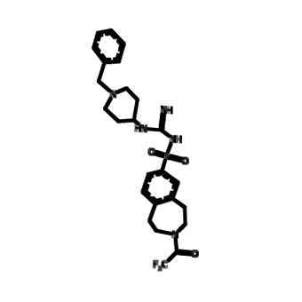 N=C(NC1CCN(Cc2ccccc2)CC1)NS(=O)(=O)c1ccc2c(c1)CCN(C(=O)C(F)(F)F)CC2